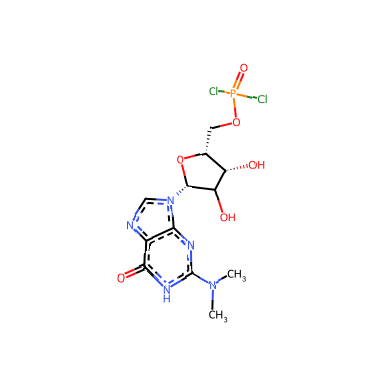 CN(C)c1nc2c(ncn2[C@@H]2O[C@H](COP(=O)(Cl)Cl)[C@H](O)C2O)c(=O)[nH]1